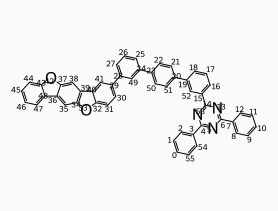 c1ccc(-c2nc(-c3ccccc3)nc(-c3cccc(-c4ccc(-c5cccc(-c6ccc7oc8cc9c(cc8c7c6)oc6ccccc69)c5)cc4)c3)n2)cc1